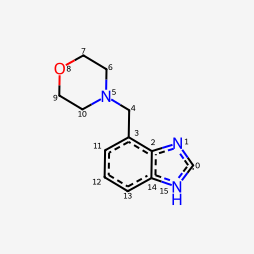 [c]1nc2c(CN3CCOCC3)cccc2[nH]1